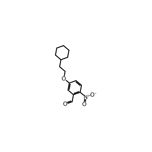 O=Cc1cc(OCCC2CCCCC2)ccc1[N+](=O)[O-]